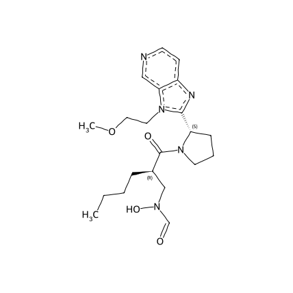 CCCC[C@H](CN(O)C=O)C(=O)N1CCC[C@H]1c1nc2ccncc2n1CCOC